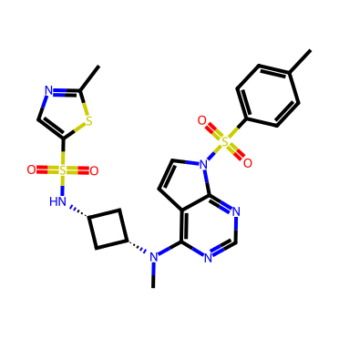 Cc1ccc(S(=O)(=O)n2ccc3c(N(C)[C@H]4C[C@@H](NS(=O)(=O)c5cnc(C)s5)C4)ncnc32)cc1